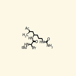 CC(=O)C(C)CC(CCCNC(N)=O)NC(=O)C(NC(C)(C)C)C(C)C